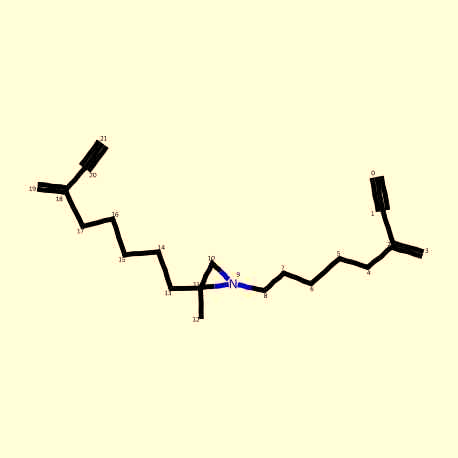 C#CC(=C)CCCCCN1CC1(C)CCCCCC(=C)C#C